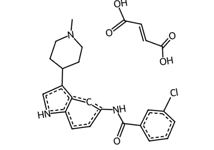 CN1CCC(c2c[nH]c3ccc(NC(=O)c4cccc(Cl)c4)cc23)CC1.O=C(O)/C=C/C(=O)O